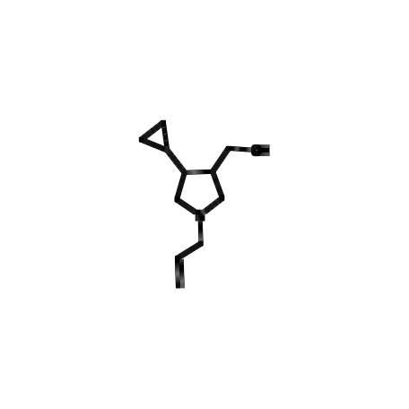 C=CCN1CC(CO)C(C2CC2)C1